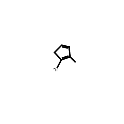 [2H]C1=C(C)C=CC1